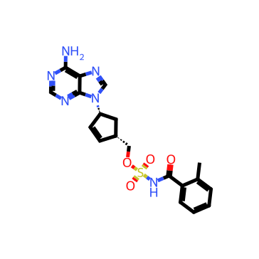 Cc1ccccc1C(=O)NS(=O)(=O)OC[C@@H]1C=C[C@H](n2cnc3c(N)ncnc32)C1